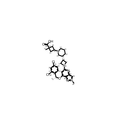 C[C@@H](Oc1cc(N2CC([C@H]3CCCN(C4CC(C)(C(=O)O)C4)C3)C2)nc2cn(C)nc12)c1ccc(Cl)cc1Cl